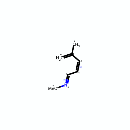 C=C(C)/C=C\C=N\OC